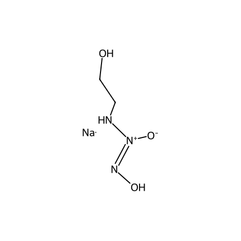 [Na].[O-][N+](=NO)NCCO